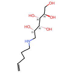 C=CCCCNC[C@H](O)[C@@H](O)[C@H](O)[C@H](O)CO